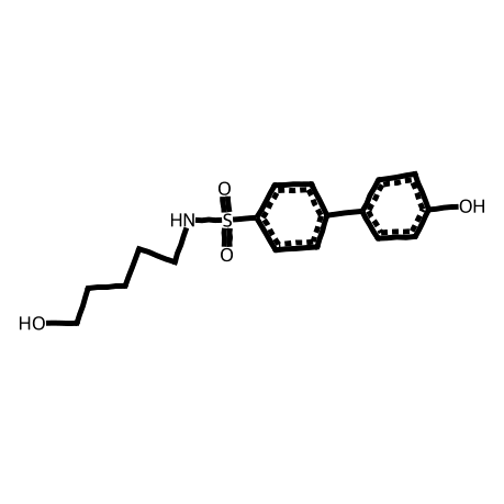 O=S(=O)(NCCCCCO)c1ccc(-c2ccc(O)cc2)cc1